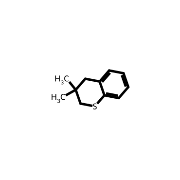 CC1(C)CSc2ccccc2C1